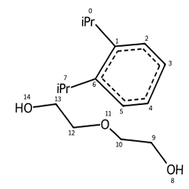 CC(C)c1ccccc1C(C)C.OCCOCCO